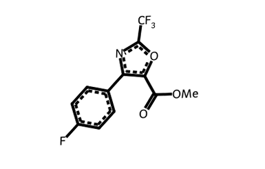 COC(=O)c1oc(C(F)(F)F)nc1-c1ccc(F)cc1